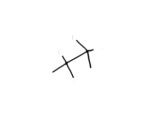 CC(F)(F)C(O)(F)F